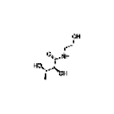 C[C@@H](O)[C@H](O)C(=O)NCCO